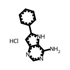 Cl.Nc1ncnc2cc(-c3ccccc3)[nH]c12